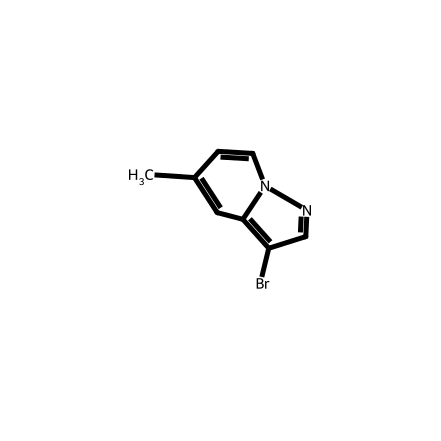 Cc1ccn2ncc(Br)c2c1